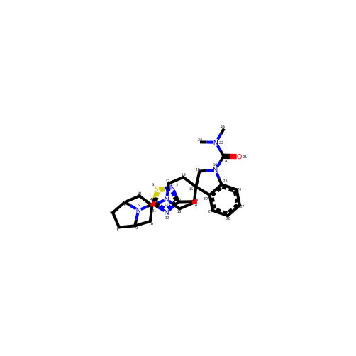 Cc1nsc(N2C3CCC2CC(N2CCC4(CC2)CN(C(=O)N(C)C)c2ccccc24)C3)n1